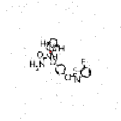 NC(=O)NC1C[C@H]2CC[C@@H](C1)N2CCOc1ccc(Oc2nc3cccc(F)c3s2)cc1